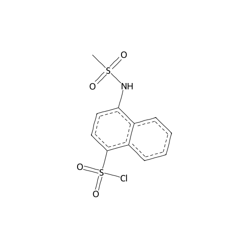 CS(=O)(=O)Nc1ccc(S(=O)(=O)Cl)c2ccccc12